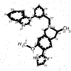 COc1cc2c(cc1-c1ncc[nH]1)CC(C)N(Cc1cccc(-n3cnc4ccccc43)c1)C2